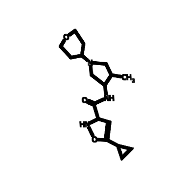 CC1CN(C2CCOCC2)CC1NC(=O)C1C=C(C2CC2)ON1